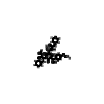 COc1ccc([C@@H](O)[C@H](NC(=O)[C@H](C)NC(=O)CN2CCOCC2)C(=O)N[C@@H](CC2=CCCCC2)C(=O)[C@]2(C)CO2)cc1